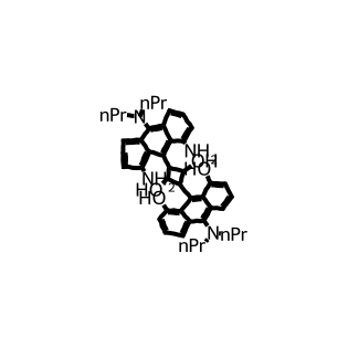 CCCN(CCC)c1c2cccc(N)c2c(C2C(O)C(c3c4c(O)cccc4c(N(CCC)CCC)c4cccc(O)c34)C2O)c2c(N)cccc12